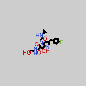 O=C(Cn1c(=O)c(C(=O)NCCO)c(O)c2ncc(Cc3ccc(F)cc3)cc21)NC1CC1